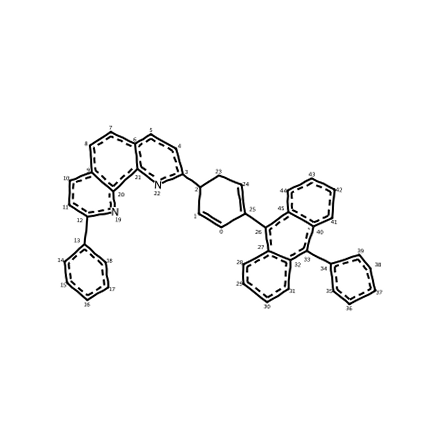 C1=CC(c2ccc3ccc4ccc(-c5ccccc5)nc4c3n2)CC=C1c1c2ccccc2c(-c2ccccc2)c2ccccc12